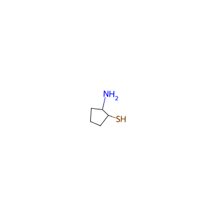 NC1CCCC1S